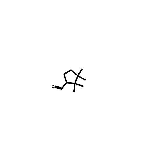 CC1(C)CCC(C=O)C1(C)C